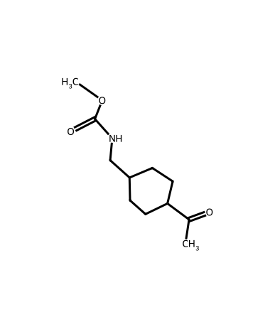 COC(=O)NCC1CCC(C(C)=O)CC1